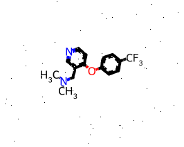 CN(C)Cc1cnccc1Oc1ccc(C(F)(F)F)cc1